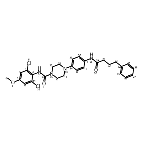 COc1cc(Cl)c(NC(=O)N2CCN(c3ccc(NC(=O)CCCc4ccccc4)cc3)CC2)c(Cl)c1